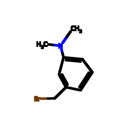 CN(C)c1cccc(CBr)c1